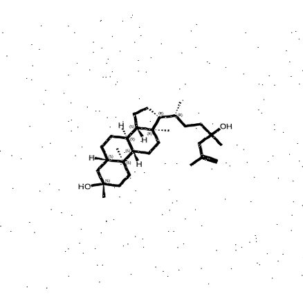 C=C(C)CC(C)(O)CC[C@@H](C)[C@H]1CC[C@H]2[C@@H]3CC[C@H]4C[C@@](C)(O)CC[C@]4(C)[C@H]3CC[C@]12C